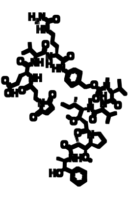 CC[C@H](C)[C@@H]([C@@H](CC(=O)N1CCC[C@H]1[C@H](OC)[C@@H](C)C(=O)N[C@H](C)[C@@H](O)c1ccccc1)OC)N(C)C(=O)[C@@H](NC(=O)[C@H](C(C)C)N(C)C(=O)OCc1ccc(NC(=O)[C@H](CCCNC(N)=O)NC(=O)[C@@H](NC(=O)[C@H](CCC(=O)O)NC(=O)CCN2C(=O)C=CC2=O)C(C)C)cc1)C(C)C